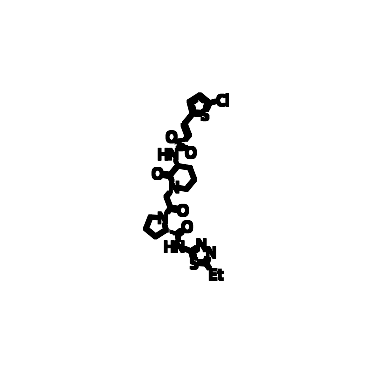 CCc1nnc(NC(=O)[C@@H]2CCCN2C(=O)CN2CCC[C@H](NS(=O)(=O)/C=C/c3ccc(Cl)s3)C2=O)s1